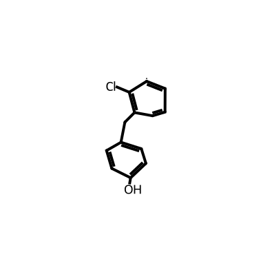 Oc1ccc(Cc2ccc[c]c2Cl)cc1